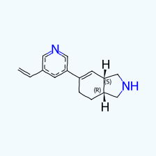 C=Cc1cncc(C2=C[C@@H]3CNC[C@@H]3CC2)c1